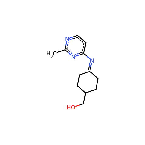 Cc1nccc(N=C2CCC(CO)CC2)n1